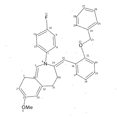 COC1=CCC2=CN(c3ccc(F)cc3)C(=Cc3ccccc3OCc3ccccc3)CCC2=C1